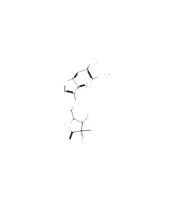 CCC1C(COc2csc3cc(C#N)c(OC)nc23)NC(=O)C1(F)F